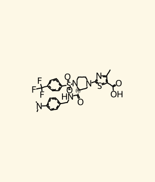 Cc1nc(N2CCN(S(=O)(=O)c3ccc(C(F)(F)F)cc3)[C@@H](C(=O)NCc3ccc(N(C)C)cc3)C2)sc1C(=O)O